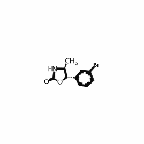 C[C@@H]1NC(=O)O[C@H]1c1cccc(Br)c1